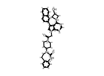 O=C(Cn1cc(-c2ccc3ccccc3c2)c2c(N3CC(O)C3)ncnc21)N1CCC(N2CCc3ccccc3NC2=O)CC1